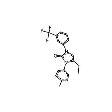 CCc1cn(-c2cccc(C(F)(F)F)c2)c(=O)n1-c1ccc(C)cc1